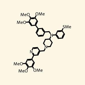 COc1cc(-c2cccc(CN(c3cccc(SC)c3)C3CCN(Cc4ccnc(-c5cc(OC)c(OC)c(OC)c5)c4)CC3)c2)cc(OC)c1OC